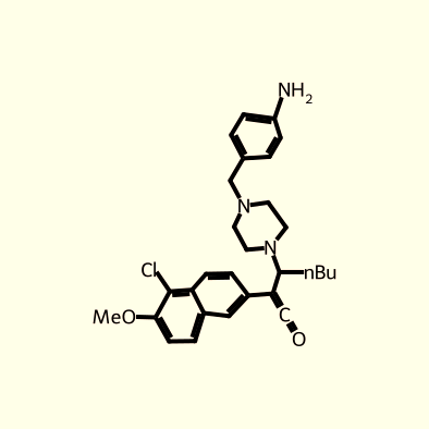 CCCCC(C(=C=O)c1ccc2c(Cl)c(OC)ccc2c1)N1CCN(Cc2ccc(N)cc2)CC1